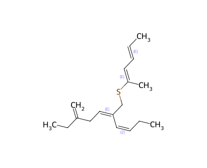 C=C(CC)C/C=C(\C=C/CC)CS/C(C)=C/C=C/C